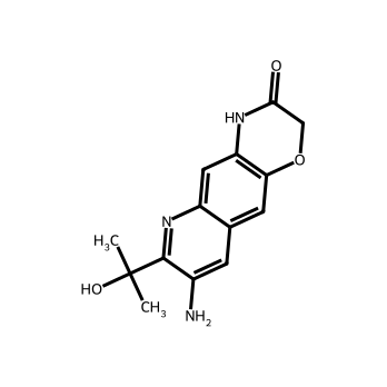 CC(C)(O)c1nc2cc3c(cc2cc1N)OCC(=O)N3